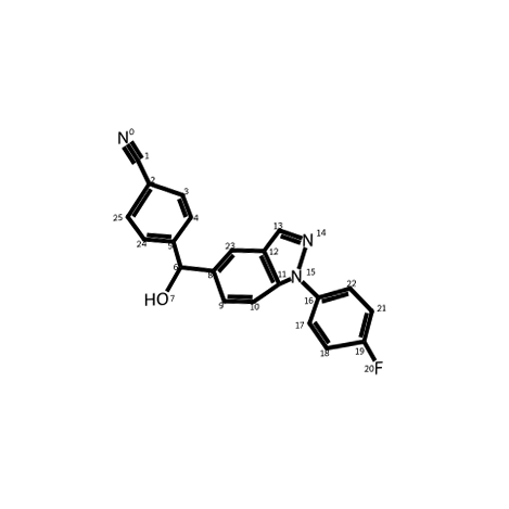 N#Cc1ccc(C(O)c2ccc3c(cnn3-c3ccc(F)cc3)c2)cc1